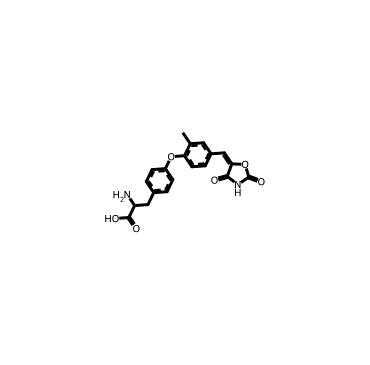 Cc1cc(C=C2OC(=O)NC2=O)ccc1Oc1ccc(CC(N)C(=O)O)cc1